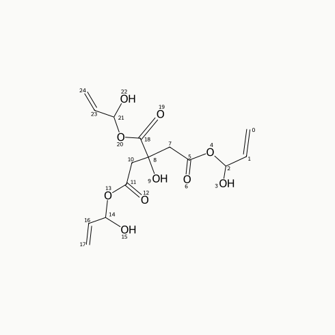 C=CC(O)OC(=O)CC(O)(CC(=O)OC(O)C=C)C(=O)OC(O)C=C